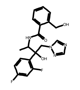 CC(NC(=O)c1ccccc1CO)C(O)(Cn1cncn1)c1ccc(F)cc1F